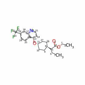 CCOC(=O)C(CC)[C@H]1CC[C@H](Oc2ccnc3cc(C(F)(F)F)ccc23)CC1